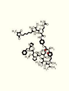 CC[C@H](C)C([C@@H](CC(=O)N1CCC[C@H]1[C@H](OC)[C@@H](C)C(=O)N[C@@H](Cc1ccccc1)c1nccs1)OC)N(C)C(=O)[C@@H](NC(=O)[C@H](C(C)C)N(C)CCc1ccc(N(C)C(=O)COc2ccc(NC(=O)[C@H](CCCNC(N)=O)NC(=O)[C@@H](NC(=O)CCCCCN3C(=O)CC(C)C3=O)C(C)C)cc2)cc1)C(C)C